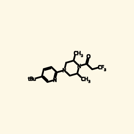 CC1CN(c2ccc(C(C)(C)C)cn2)CC(C)N1C(=O)CC(F)(F)F